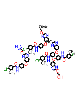 COCCOc1cnc2ccc(Oc3ccc(NC(=O)c4ccc(Cl)c(C(F)(F)F)c4)cc3)cc2n1.N#Cc1cnc2ccc(Oc3ccc(NC(=O)c4ccc(Cl)c(C(F)(F)F)c4)cc3)cc2n1.NCCOc1cnc2ccc(Oc3ccc(NC(=O)c4ccc(Cl)c(C(F)(F)F)c4)cc3)cc2n1.O=C(Nc1ccc(Oc2ccc3ncc(OCCO)nc3c2)cc1)c1ccc(Cl)c(C(F)(F)F)c1